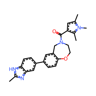 Cc1nc2cc(-c3ccc4c(c3)CN(C(=O)c3cc(C)n(C)c3C)CCO4)ccc2[nH]1